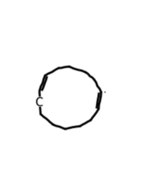 [C]1=CCCCCCCC=CCCCC1